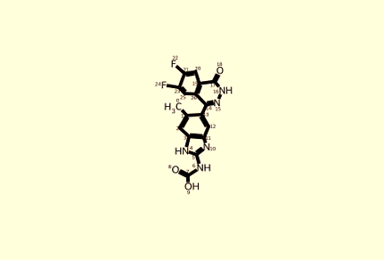 Cc1cc2[nH]c(NC(=O)O)nc2cc1-c1n[nH]c(=O)c2cc(F)c(F)cc12